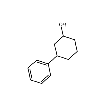 OC1CCCC(c2ccccc2)C1